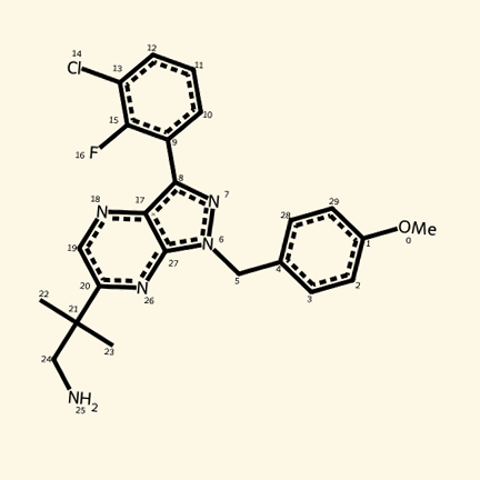 COc1ccc(Cn2nc(-c3cccc(Cl)c3F)c3ncc(C(C)(C)CN)nc32)cc1